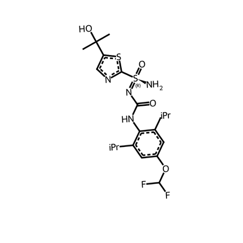 CC(C)c1cc(OC(F)F)cc(C(C)C)c1NC(=O)N=[S@@](N)(=O)c1ncc(C(C)(C)O)s1